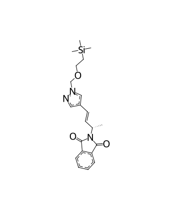 C[C@@H](/C=C/c1cnn(COCC[Si](C)(C)C)c1)N1C(=O)c2ccccc2C1=O